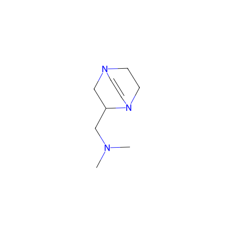 CN(C)CC1CN2C=CN1CC2